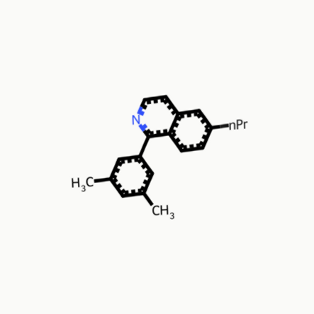 CCCc1ccc2c(-c3cc(C)cc(C)c3)nccc2c1